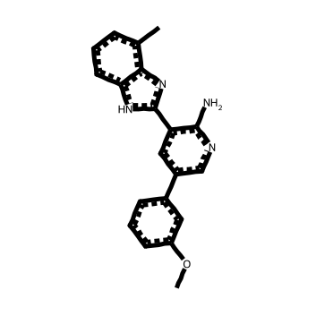 COc1cccc(-c2cnc(N)c(-c3nc4c(C)cccc4[nH]3)c2)c1